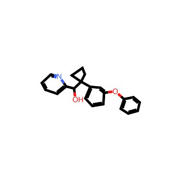 OC(c1ccccn1)C1(c2cccc(Oc3ccccc3)c2)CCC1